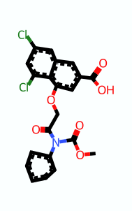 COC(=O)N(C(=O)COc1cc(C(=O)O)cc2cc(Cl)cc(Cl)c12)c1ccccc1